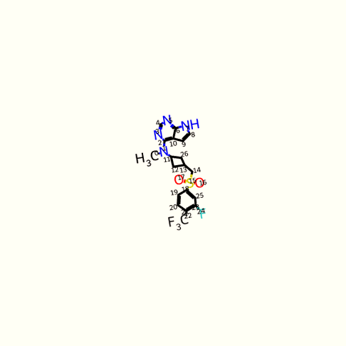 CN(c1ncnc2[nH]ccc12)C1CC(CS(=O)(=O)c2ccc(C(F)(F)F)c(F)c2)C1